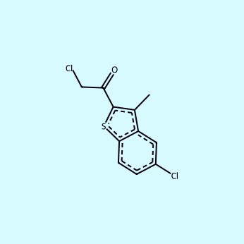 Cc1c(C(=O)CCl)sc2ccc(Cl)cc12